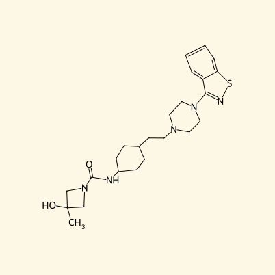 CC1(O)CN(C(=O)NC2CCC(CCN3CCN(c4nsc5ccccc45)CC3)CC2)C1